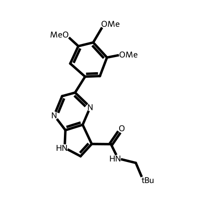 COc1cc(-c2cnc3[nH]cc(C(=O)NCC(C)(C)C)c3n2)cc(OC)c1OC